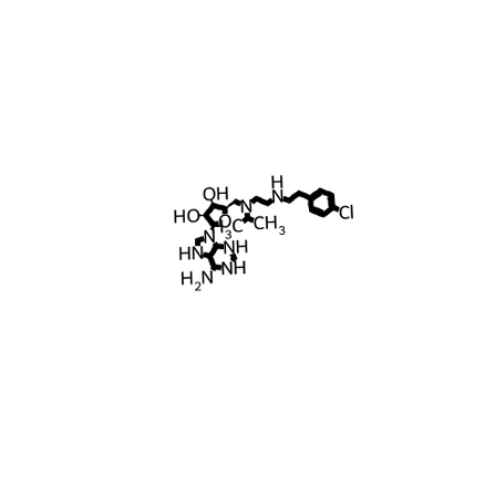 CC(C)N(CCNCCc1ccc(Cl)cc1)C[C@H]1O[C@@H](N2CNC3C(N)NCNC32)[C@H](O)[C@@H]1O